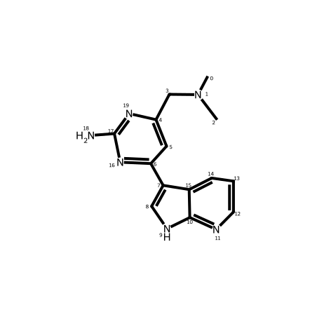 CN(C)Cc1cc(-c2c[nH]c3ncccc23)nc(N)n1